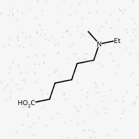 CCN(C)CCCCCC(=O)O